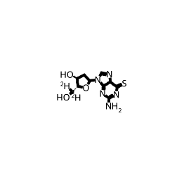 [2H]C([2H])(O)[C@H]1OC(N2C=NC3C(=S)N=C(N)N=C32)C[C@@H]1O